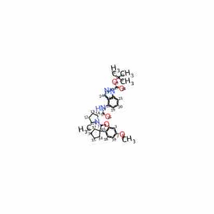 COc1ccc(C2(C(=O)N3[C@H](C)CC[C@@H]3C(=O)Nc3cccc4c3cnn4C(=O)OC(C)(C)C)CCCC2)cc1